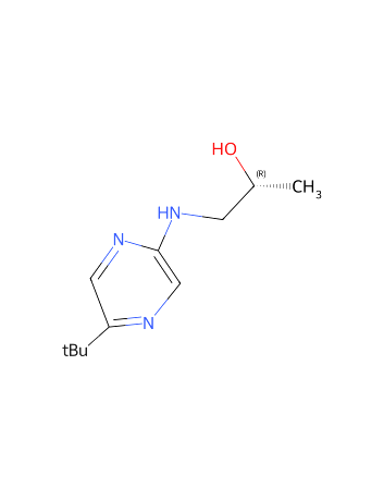 C[C@@H](O)CNc1cnc(C(C)(C)C)cn1